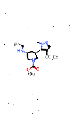 CCOC(=O)c1cnn(C)c1[C@@H]1C[C@H](NCC(C)C)CN(C(=O)OC(C)(C)C)C1